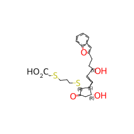 O=C(O)CSCCCS[C@H]1C(=O)C[C@@H](O)[C@@H]1C=C[C@@H](O)CCc1cc2ccccc2o1